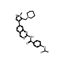 Cn1ncc(-c2ccc3cnc(NC(=O)c4ccc(OC(F)F)cc4)nc3c2)c1CN1CCCCC1